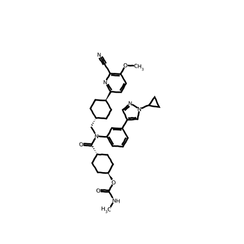 CNC(=O)O[C@H]1CC[C@H](C(=O)N(C[C@H]2CC[C@H](c3ccc(OC)c(C#N)n3)CC2)c2cccc(-c3cnn(C4CC4)c3)c2)CC1